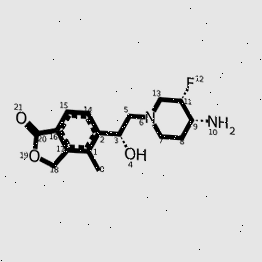 Cc1c([C@@H](O)CN2CC[C@@H](N)[C@@H](F)C2)ccc2c1COC2=O